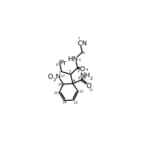 CC(C)CC(C(=O)NCC#N)C1(C(N)=O)C=CC=CC1[N+](=O)[O-]